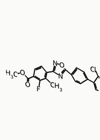 COC(=O)c1ccc(-c2noc(-c3ccc(-c4ccccc4Cl)cc3)n2)c(C)c1F